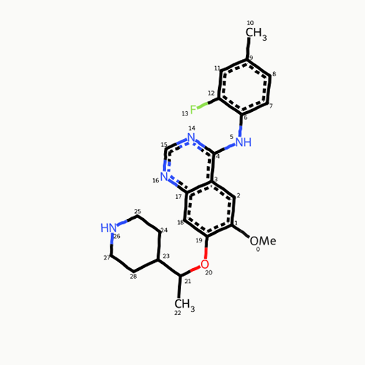 COc1cc2c(Nc3ccc(C)cc3F)ncnc2cc1OC(C)C1CCNCC1